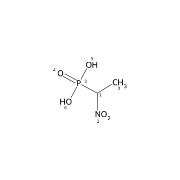 CC([N+](=O)[O-])P(=O)(O)O